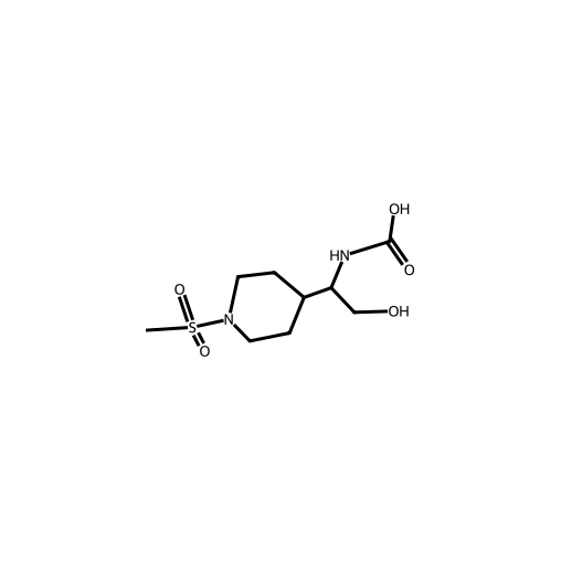 CS(=O)(=O)N1CCC(C(CO)NC(=O)O)CC1